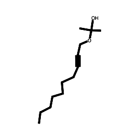 CCCCCCCC#CCOC(C)(C)O